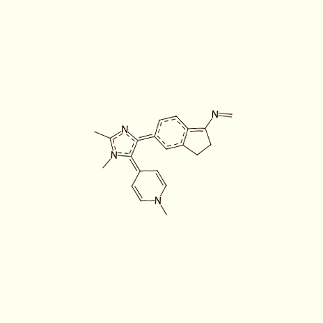 C=NC1=c2cc/c(=c3\nc(C)n(C)c3=C3C=CN(C)C=C3)cc2CC1